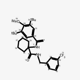 C=C(NC1(C(=O)NCc2cccc(C(F)(F)F)c2)CCCCC1)c1cc(C(C)(C)C)c(OC)c(C(C)(C)C)c1